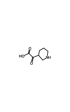 O=C(O)C(=O)C1CCCNC1